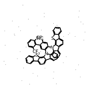 N#Cc1cc(-n2c3ccccc3c3ccc4c5ccccc5sc4c32)c(-n2c3ccccc3c3ccc4c5ccccc5sc4c32)cc1-c1c(C(F)(F)F)cccc1C(F)(F)F